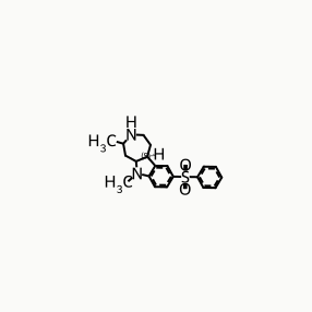 CC1CC2[C@@H](CCN1)c1cc(S(=O)(=O)c3ccccc3)ccc1N2C